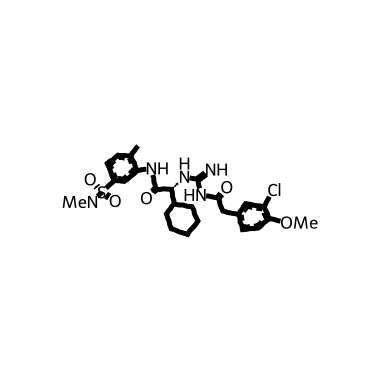 CNS(=O)(=O)c1ccc(C)c(NC(=O)[C@H](NC(=N)NC(=O)Cc2ccc(OC)c(Cl)c2)C2CCCCC2)c1